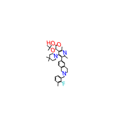 Cc1cccc(CN2CCc3cc(-c4c(C)nc(C)c(C(OC(C)(C)C)C(=O)O)c4N4CCC(C)(C)CC4)ccc3C2)c1F